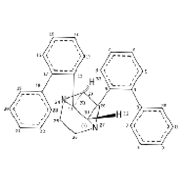 c1ccc(-c2ccccc2[C@H]2[C@H](c3ccccc3-c3ccccc3)N3CCN2CC3)cc1